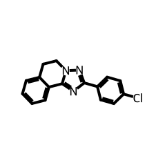 Clc1ccc(-c2nc3n(n2)CCc2ccccc2-3)cc1